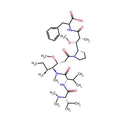 CC[C@H](C)[C@@H]([C@@H](CC(=O)N1CCC[C@H]1[C@H](OC)[C@@H](C)C(=O)NC(Cc1ccccc1)C(=O)O)OC)N(C)C(=O)[C@@H](NC(=O)[C@H](C(C)C)N(C)C)C(C)C